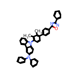 Cc1c(-c2ccc(-c3nc(-c4ccccc4)no3)cc2)ccc(-n2c3ccccc3c3cc(N(c4ccccc4)c4ccccc4)ccc32)c1C